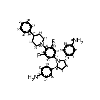 Nc1ccc([C@@H]2CC[C@@H](c3ccc(N)cc3)N2c2cc(F)c(N3CCC(c4ccccc4)CC3)c(F)c2)cc1